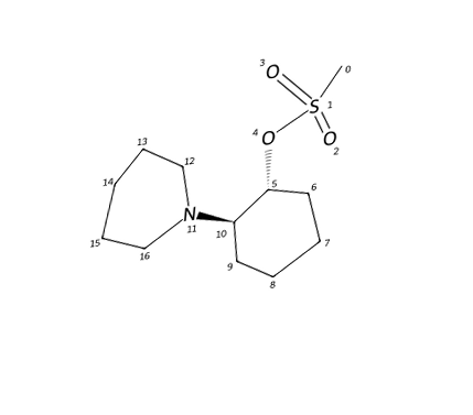 CS(=O)(=O)O[C@@H]1CCCC[C@H]1N1CCCCC1